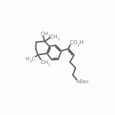 CCCCCCCCCCCCC/C=C(/C(=O)O)c1ccc2c(c1)C(C)(C)CCC2(C)C